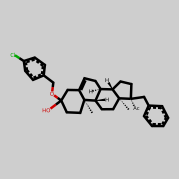 CC(=O)[C@@]1(Cc2ccccc2)CC[C@H]2[C@@H]3CC=C4CC(O)(OCc5ccc(Cl)cc5)CC[C@]4(C)[C@H]3CC[C@@]21C